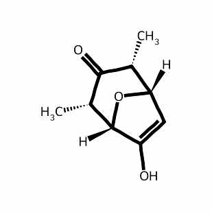 C[C@@H]1C(=O)[C@H](C)[C@@H]2C=C(O)[C@H]1O2